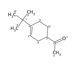 CC(=O)C1CC=C(C(C)(C)C)CC1